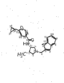 C[C@H]1CN(Cc2cc3ccccc3s2)C[C@H]1NC(=O)c1cc(C2CC2)on1